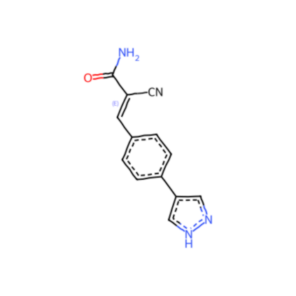 N#C/C(=C\c1ccc(-c2cn[nH]c2)cc1)C(N)=O